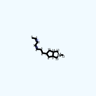 C/C=C\C=C/CCC1CC2CN(C)CC2C1